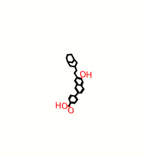 O=C(O)c1ccc(-c2ccc3cc(O)c(CCC4CC5CCCC(C5)C4)cc3c2)cc1